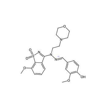 COc1cc(/C=N/N(CCN2CCOCC2)C2=NS(=O)(=O)c3c(OC)cccc32)ccc1O